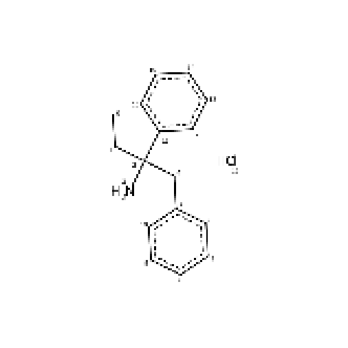 CCC(N)(Cc1ccccc1)c1ccccc1.Cl